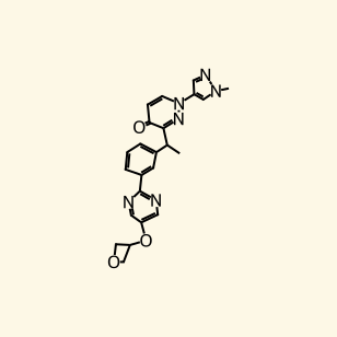 CC(c1cccc(-c2ncc(OC3COC3)cn2)c1)c1nn(-c2cnn(C)c2)ccc1=O